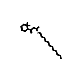 C=C(CC(C)SCCCCCCCCCCCC)C1CC=CCC1(C)C